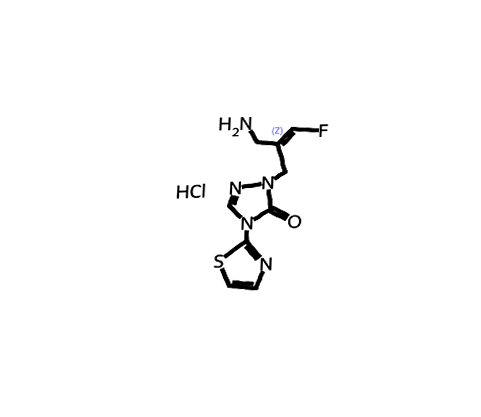 Cl.NC/C(=C/F)Cn1ncn(-c2nccs2)c1=O